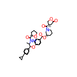 CC(NC(=O)[C@H]1CCCO1)C(Oc1ccc(C(=O)O[C@H]2CCCN(C(=O)[C@H]3COC(=O)C3)C2)cc1)c1ccc(C2CC2)cc1